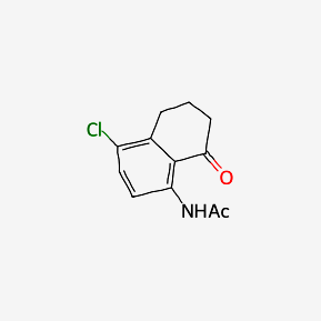 CC(=O)Nc1ccc(Cl)c2c1C(=O)CCC2